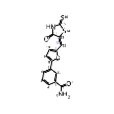 NC(=O)c1cccc(-c2ccc(/C=C3/SC(=S)NC3=O)o2)c1